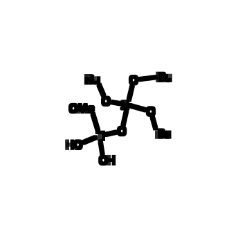 CCC(C)O[Si](OC(C)CC)(OC(C)CC)[O][Ti]([OH])([OH])[O]C